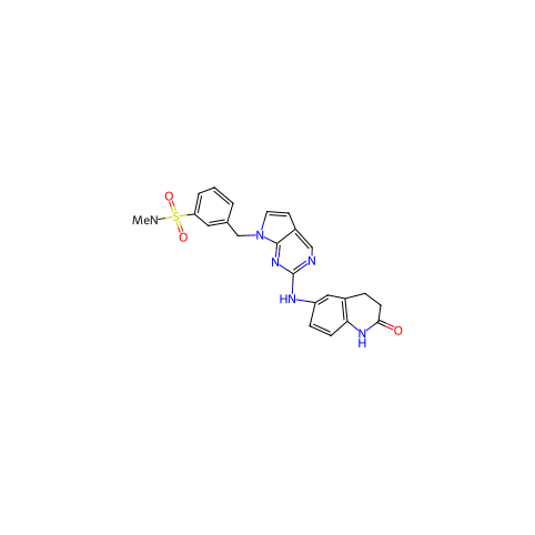 CNS(=O)(=O)c1cccc(Cn2ccc3cnc(Nc4ccc5c(c4)CCC(=O)N5)nc32)c1